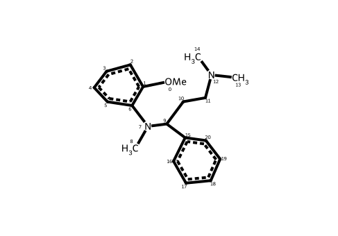 COc1ccccc1N(C)C(CCN(C)C)c1ccccc1